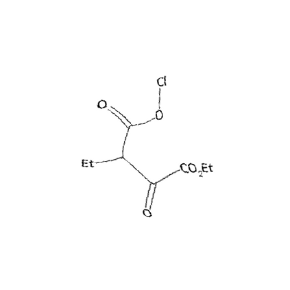 CCOC(=O)C(=O)C(CC)C(=O)OCl